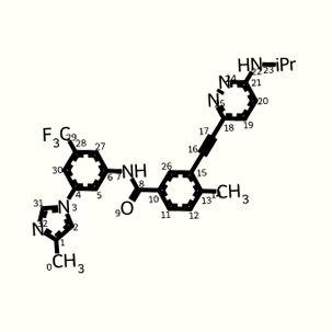 Cc1cn(-c2cc(NC(=O)c3ccc(C)c(C#Cc4ccc(NC(C)C)nn4)c3)cc(C(F)(F)F)c2)cn1